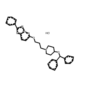 Cl.c1ccc(-c2nc3ccc(OCCCN4CCC(OC(c5ccccc5)c5ccccc5)CC4)nn3n2)cc1